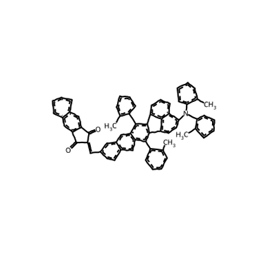 Cc1ccccc1-c1c2c(c(-c3ccccc3C)c3cc4cc(C=C5C(=O)c6cc7ccccc7cc6C5=O)ccc4cc13)-c1cccc3c(N(c4ccccc4C)c4ccccc4C)ccc-2c13